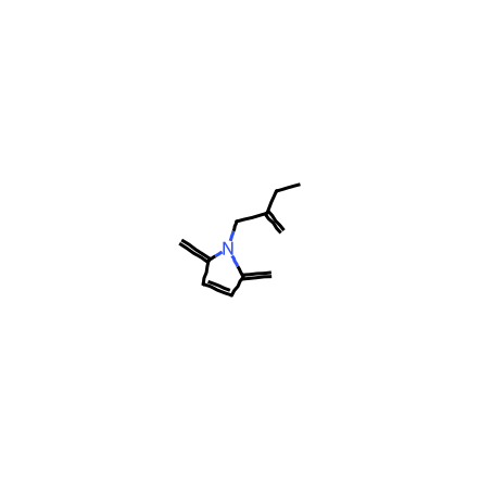 C=C(CC)Cn1c(=C)ccc1=C